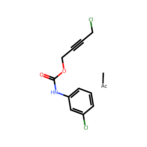 CC(C)=O.O=C(Nc1cccc(Cl)c1)OCC#CCCl